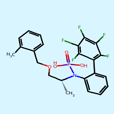 Cc1ccccc1COC[C@@H](C)N(c1ccccc1-c1c(F)c(F)c(F)c(F)c1F)P(=O)(O)O